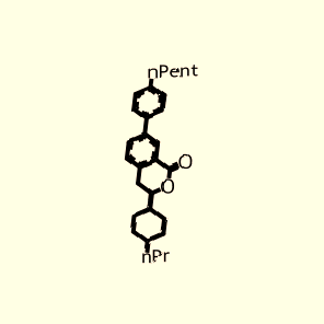 CCCCCc1ccc(-c2ccc3c(c2)C(=O)OC(C2CCC(CCC)CC2)C3)cc1